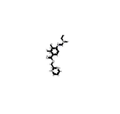 CCN(C)/C=N/c1ccc(C(=O)OCc2ncccn2)c(C)c1C